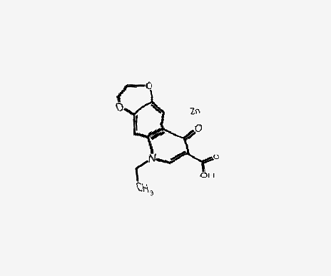 CCn1cc(C(=O)O)c(=O)c2cc3c(cc21)OCO3.[Zn]